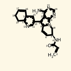 C=CC(=O)N[C@H]1C=Cc2c(-c3cnc4c(c3)C=CCC4)c3c(N)ncnc3n2C1